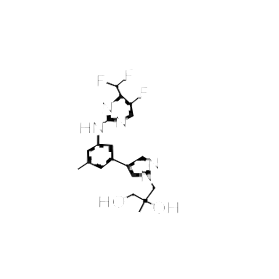 Cc1cc(Nc2ncc(F)c(C(F)F)n2)cc(-c2cnn(CC(C)(O)CO)c2)c1